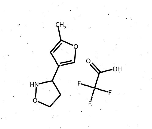 Cc1cc(C2CCON2)co1.O=C(O)C(F)(F)F